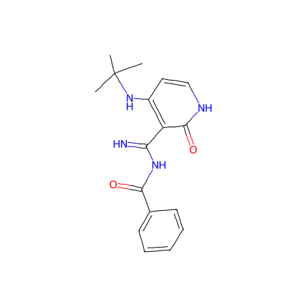 CC(C)(C)Nc1cc[nH]c(=O)c1C(=N)NC(=O)c1ccccc1